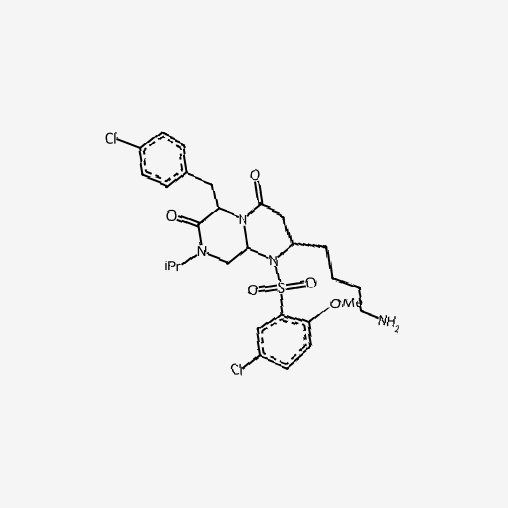 COc1ccc(Cl)cc1S(=O)(=O)N1C(CCCCN)CC(=O)N2C(Cc3ccc(Cl)cc3)C(=O)N(C(C)C)CC21